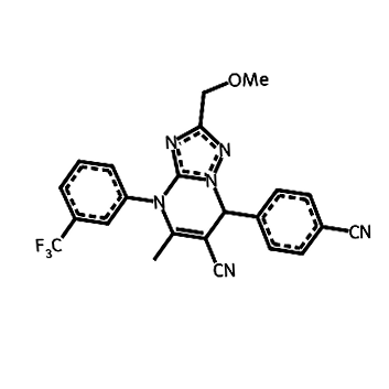 COCc1nc2n(n1)C(c1ccc(C#N)cc1)C(C#N)=C(C)N2c1cccc(C(F)(F)F)c1